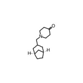 O=C1CCN(CC2C[C@H]3CC[C@@H](C2)C3)CC1